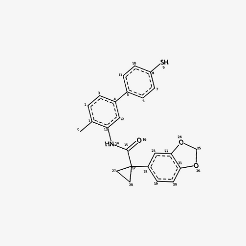 Cc1ccc(-c2ccc(S)cc2)cc1NC(=O)C1(c2ccc3c(c2)OCO3)CC1